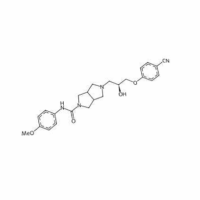 COc1ccc(NC(=O)N2CC3CN(C[C@H](O)COc4ccc(C#N)cc4)CC3C2)cc1